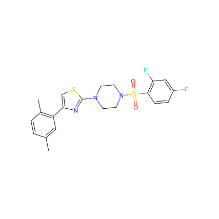 Cc1ccc(C)c(-c2csc(N3CCN(S(=O)(=O)c4ccc(F)cc4F)CC3)n2)c1